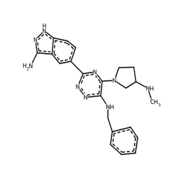 CNC1CCN(c2nc(-c3ccc4[nH]nc(N)c4c3)nnc2NCc2ccccc2)C1